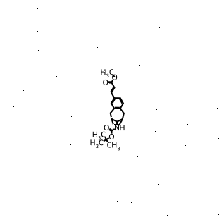 COC(=O)C=Cc1ccc2c(c1)CC1CCC(C2)C1NC(=O)OC(C)(C)C